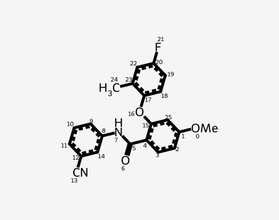 COc1ccc(C(=O)Nc2cccc(C#N)c2)c(Oc2ccc(F)cc2C)c1